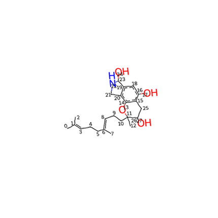 CC(C)=CCC/C(C)=C/CCC1(C)Oc2c(c(O)cc3c2CNC3O)CC1O